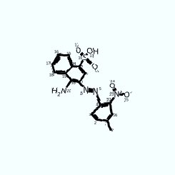 Cc1ccc(/N=N/c2cc(S(=O)(=O)O)c3ccccc3c2N)c([N+](=O)[O-])c1